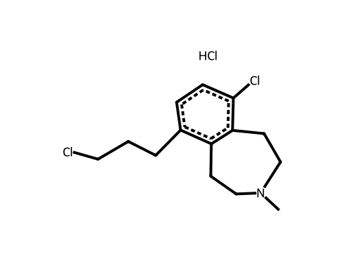 CN1CCc2c(Cl)ccc(CCCCl)c2CC1.Cl